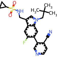 CC(C)(C)Cn1cc(CNS(=O)(=O)C2CC2)c2cc(F)c(-c3cnccc3C#N)cc21